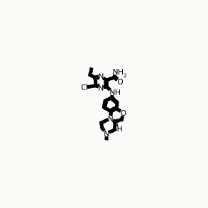 CCc1nc(C(N)=O)c(Nc2ccc3c(c2)OC[C@H]2CN(C)CCN32)nc1Cl